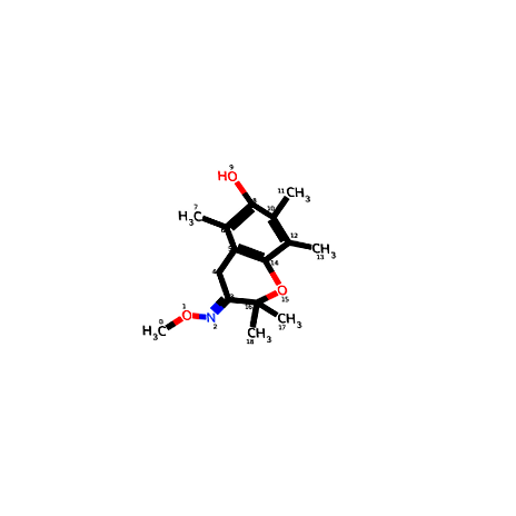 CON=C1Cc2c(C)c(O)c(C)c(C)c2OC1(C)C